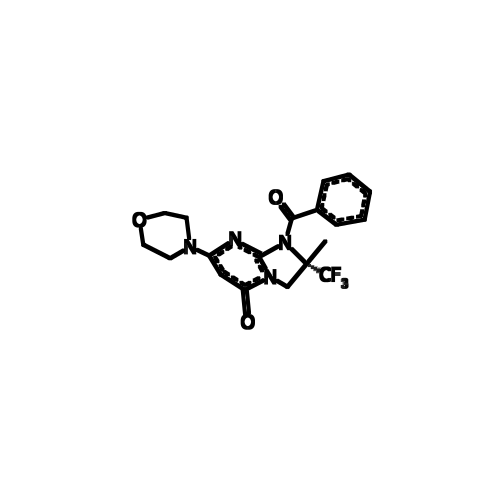 C[C@@]1(C(F)(F)F)Cn2c(nc(N3CCOCC3)cc2=O)N1C(=O)c1ccccc1